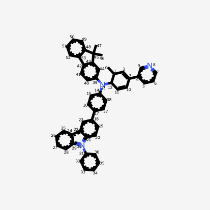 CC1C=C(c2cccnc2)C=CC1N(c1ccc(-c2ccc3c(c2)c2ccccc2n3-c2ccccc2)cc1)c1ccc2c(c1)C(C)(C)c1ccccc1-2